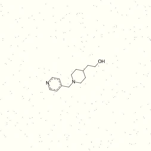 OCCC1CCN(Cc2ccncc2)CC1